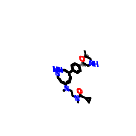 C[C@H]1CNC[C@H](c2ccc(-c3ccc(N(C)CCN(C)C(=O)C4CC4)ccn[nH]c3)cc2)O1